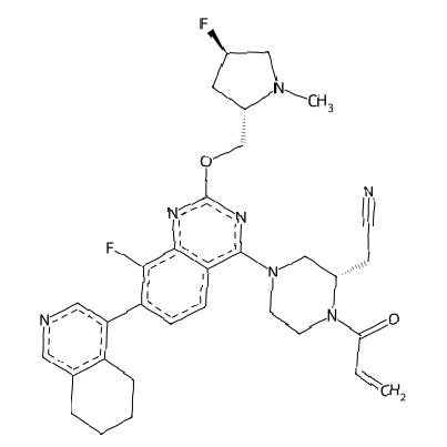 C=CC(=O)N1CCN(c2nc(OC[C@@H]3C[C@@H](F)CN3C)nc3c(F)c(-c4cncc5c4CCCC5)ccc23)C[C@@H]1CC#N